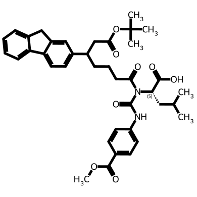 COC(=O)c1ccc(NC(=O)N(C(=O)CCCC(CC(=O)OC(C)(C)C)c2ccc3c(c2)Cc2ccccc2-3)[C@@H](CC(C)C)C(=O)O)cc1